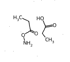 CCC(=O)O.CCC(=O)ON